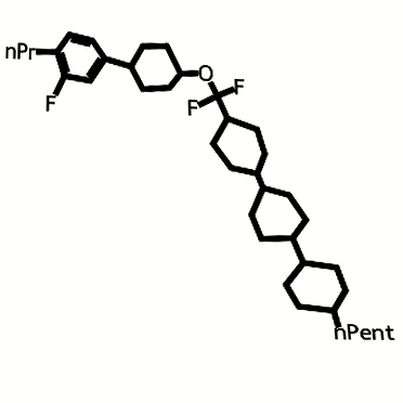 CCCCCC1CCC(C2CCC(C3CCC(C(F)(F)OC4CCC(c5ccc(CCC)c(F)c5)CC4)CC3)CC2)CC1